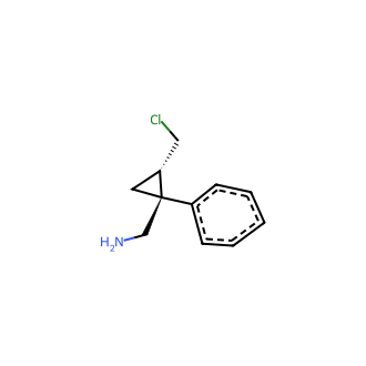 NC[C@@]1(c2ccccc2)C[C@@H]1CCl